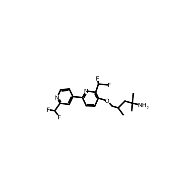 CC(COc1ccc(-c2ccnc(C(F)F)c2)nc1C(F)F)CC(C)(C)N